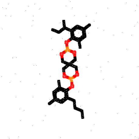 CCCCc1cc(C)cc(C)c1OP1OCC2(CO1)COP(Oc1c(C)cc(C)cc1C(C)CC)OC2